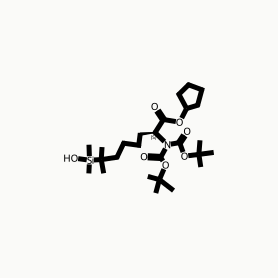 CC(C)(C)OC(=O)N(C(=O)OC(C)(C)C)[C@@H](CCCCC(C)(C)[Si](C)(C)O)C(=O)OC1CCCC1